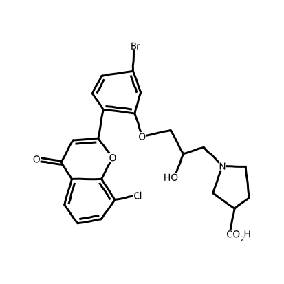 O=C(O)C1CCN(CC(O)COc2cc(Br)ccc2-c2cc(=O)c3cccc(Cl)c3o2)C1